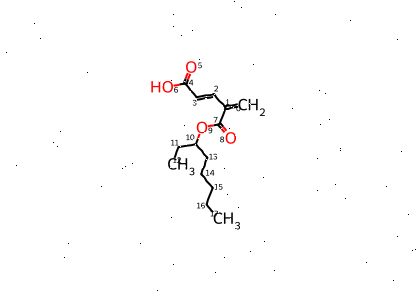 C=C(C=CC(=O)O)C(=O)OC(CC)CCCCC